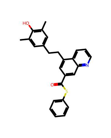 Cc1cc(CCc2cc(C(=O)Sc3ccccc3)cc3ncccc23)cc(C)c1O